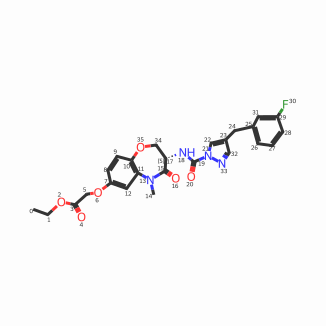 CCOC(=O)COc1ccc2c(c1)N(C)C(=O)[C@@H](NC(=O)n1cc(Cc3cccc(F)c3)cn1)CO2